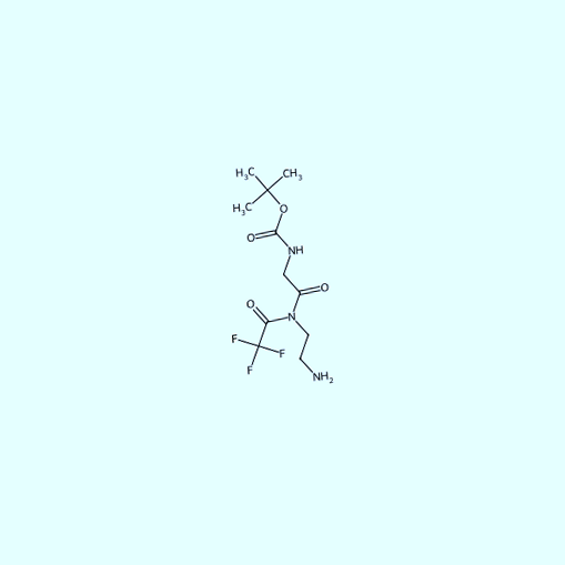 CC(C)(C)OC(=O)NCC(=O)N(CCN)C(=O)C(F)(F)F